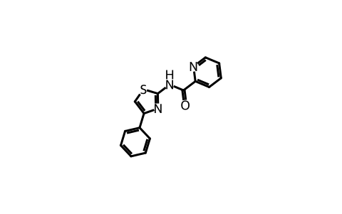 O=C(Nc1nc(-c2ccccc2)cs1)c1ccccn1